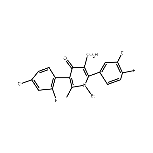 CCn1c(C)c(-c2ccc(Cl)cc2F)c(=O)c(C(=O)O)c1-c1ccc(F)c(Cl)c1